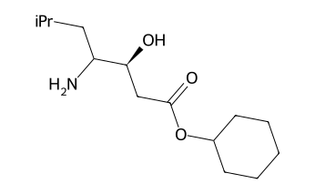 CC(C)CC(N)[C@@H](O)CC(=O)OC1CCCCC1